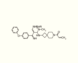 C=CC(=O)N1CCC2(CC1)CC(NC(/C(=C\N)C(=N)c1ccc(Oc3ccccc3)cc1)N(C)NC)C2